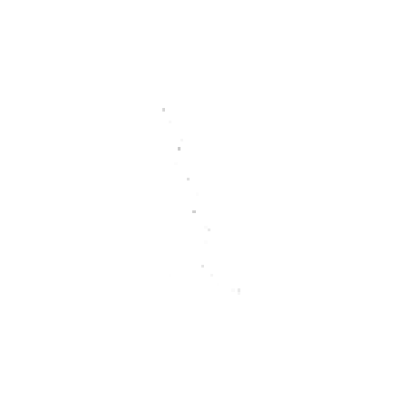 [CH2]CCCCC(=O)CCCCCCl